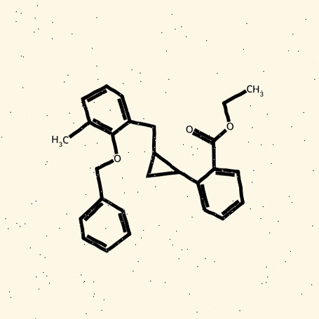 CCOC(=O)c1ccccc1C1CC1Cc1cccc(C)c1OCc1ccccc1